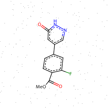 COC(=O)c1ccc(-c2cn[nH]c(=O)c2)cc1F